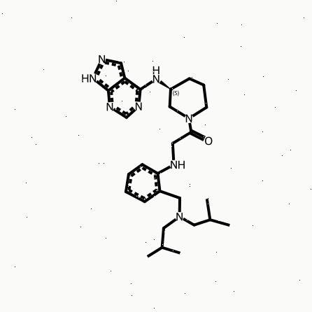 CC(C)CN(Cc1ccccc1NCC(=O)N1CCC[C@H](Nc2ncnc3[nH]ncc23)C1)CC(C)C